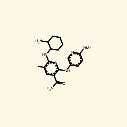 CNc1ccc(Nc2nc(NC3CCCCC3N)c(F)cc2C(N)=O)cn1